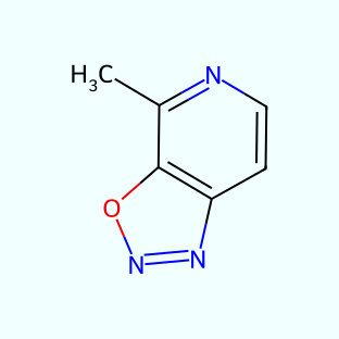 Cc1nccc2nnoc12